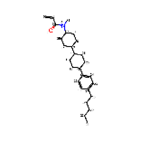 C=CC(=O)N(C)C1CCC(C2CCC(c3ccc(CCCCC)cc3)CC2)CC1